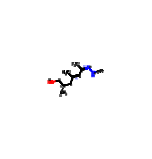 C/C(=C\C(=N/NC(C)C)C(F)(F)F)C[C@H](C)CO